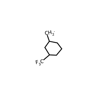 [CH2]C1CCCC(C(F)(F)F)C1